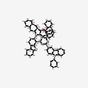 c1ccc(-n2c3ccccc3c3cc(-c4nc(-c5ccc6ccccc6c5)nc(-c5c(-n6c7cc8ccccc8cc7c7cc8ccccc8cc76)ccc6c5oc5ccccc56)n4)ccc32)cc1